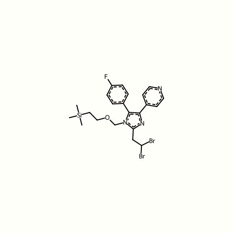 C[Si](C)(C)CCOCn1c(CC(Br)Br)nc(-c2ccncc2)c1-c1ccc(F)cc1